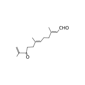 C=C(C)C(=O)CC/C(C)=C/CC/C(C)=C/C=O